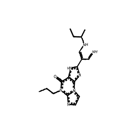 CCCn1c(=O)c2[nH]c(/C(C=N)=C/NC(C)CC)nc2n2ccnc12